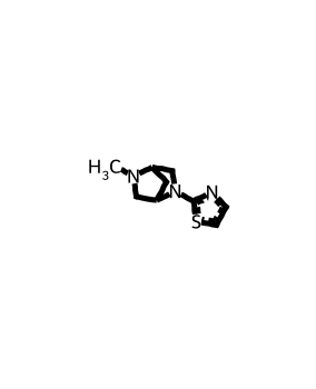 CN1CC2CC1CN2c1nccs1